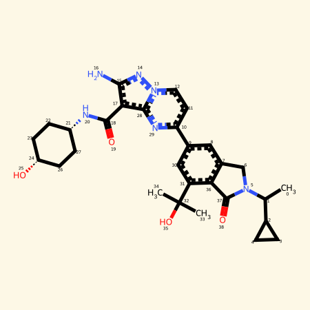 CC(C1CC1)N1Cc2cc(-c3ccn4nc(N)c(C(=O)N[C@H]5CC[C@@H](O)CC5)c4n3)cc(C(C)(C)O)c2C1=O